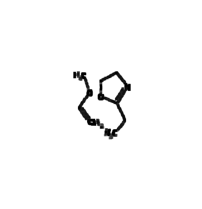 C=COC.CCC1=NCCO1